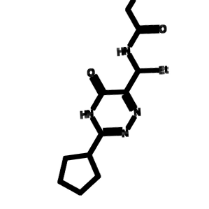 CCC(NC(=O)CC(C)C)c1nnc(C2CCCC2)[nH]c1=O